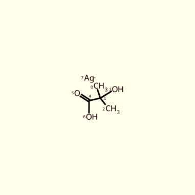 CC(C)(O)C(=O)O.[Ag]